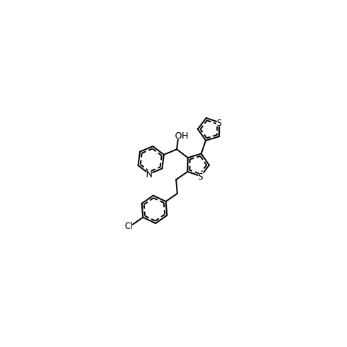 OC(c1cccnc1)c1c(-c2ccsc2)csc1CCc1ccc(Cl)cc1